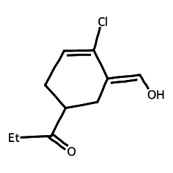 CCC(=O)C1CC=C(Cl)C(=CO)C1